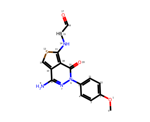 COc1ccc(-n2nc(N)c3csc(NBC=O)c3c2=O)cc1